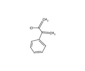 C=C(Cl)C(=C)c1ccccc1